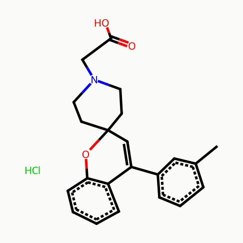 Cc1cccc(C2=CC3(CCN(CC(=O)O)CC3)Oc3ccccc32)c1.Cl